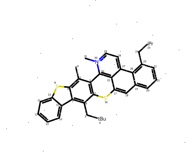 Cc1c2c(c(CC(C)(C)C)c3c1sc1ccccc13)Sc1cc3cccc(CC(C)C)c3c3cc[n+](C)c-2c13